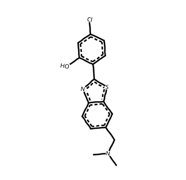 CN(C)Cc1ccc2nc(-c3ccc(Cl)cc3O)sc2c1